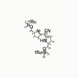 CC(C)(C)[Si](C)(C)OC[C@@H]1CCC(/C(C#N)=C2/CC[C@@H](CO[Si](C)(C)C(C)(C)C)N2)=N1